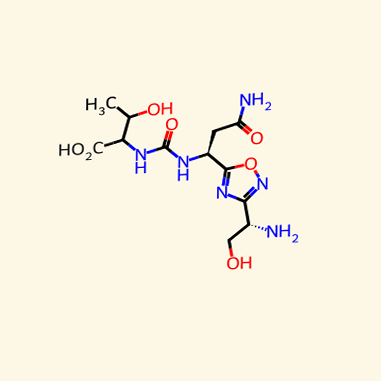 CC(O)C(NC(=O)N[C@@H](CC(N)=O)c1nc([C@H](N)CO)no1)C(=O)O